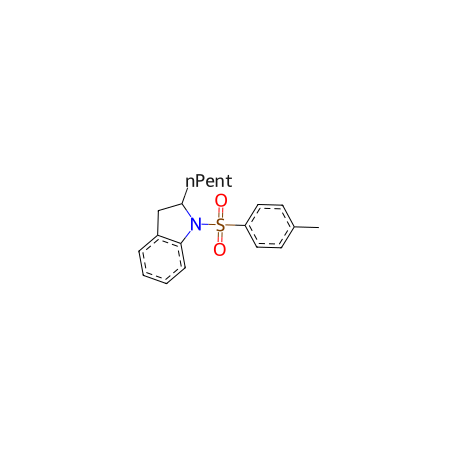 CCCCCC1Cc2ccccc2N1S(=O)(=O)c1ccc(C)cc1